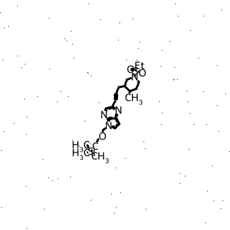 CCS(=O)(=O)N1CCC(C)C(CC#Cc2cnc3c(ccn3COCC[Si](C)(C)C)n2)C1